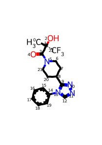 C[C@@](O)(C(=O)N1CCC(c2nncn2-c2ccccc2)CC1)C(F)(F)F